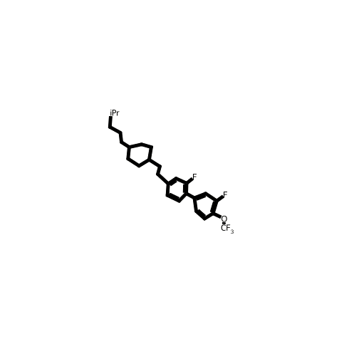 CC(C)CCCC1CCC(CCc2ccc(-c3ccc(OC(F)(F)F)c(F)c3)c(F)c2)CC1